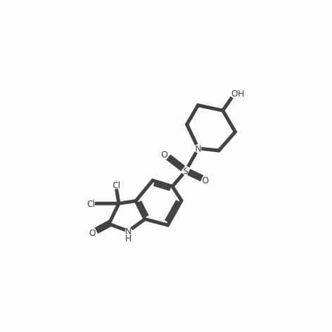 O=C1Nc2ccc(S(=O)(=O)N3CCC(O)CC3)cc2C1(Cl)Cl